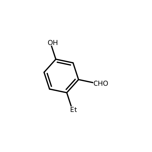 CCc1ccc(O)cc1C=O